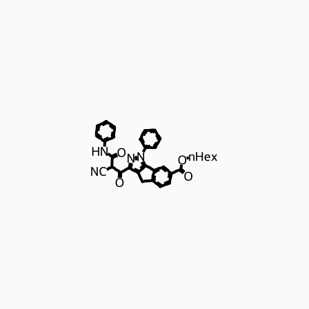 CCCCCCOC(=O)c1ccc2c(c1)-c1c(c(C(=O)C(C#N)C(=O)Nc3ccccc3)nn1-c1ccccc1)C2